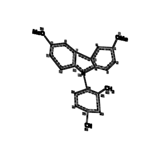 COc1ccc2c(c1)c1cc(OC)ccc1n2-c1ccc(C#N)cc1C